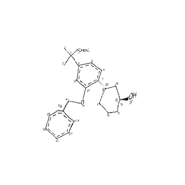 CCCCCCCCCCC(C)(C)c1ccc([C@H]2CCC[C@H](O)C2)c(OCc2ccccc2)c1